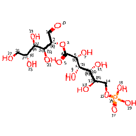 O=C[C@H](OC(=O)[C@H](O)[C@@H](O)[C@H](O)[C@H](O)COP(=O)(O)O)[C@@H](O)[C@H](O)[C@H](O)CO